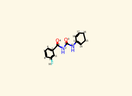 O=C(NC(=O)c1cccc(F)c1)NC1=C[CH]CC=C1